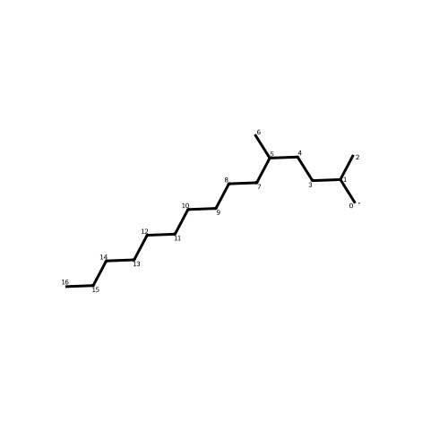 [CH2]C(C)CCC(C)CCCCCCCCCC